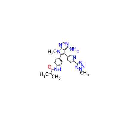 C=C(C)C(=O)Nc1ccc(-c2c(-c3ccc(-c4nnn(C)n4)nc3)c3c(N)ncnc3n2C)cc1